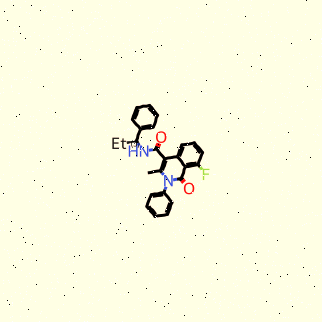 CC[C@H](NC(=O)c1c(C)n(-c2ccccc2)c(=O)c2c(F)cccc12)c1ccccc1